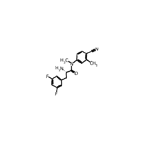 Cc1cc(N(C)C(=O)[C@@H](N)Cc2cc(F)cc(F)c2)ccc1C#N